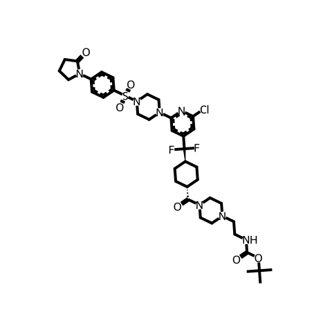 CC(C)(C)OC(=O)NCCN1CCN(C(=O)[C@H]2CC[C@H](C(F)(F)c3cc(Cl)nc(N4CCN(S(=O)(=O)c5ccc(N6CCCC6=O)cc5)CC4)c3)CC2)CC1